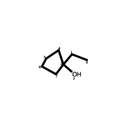 CCC1(O)[CH]CCC1